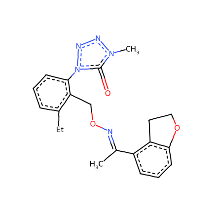 CCc1cccc(-n2nnn(C)c2=O)c1CON=C(C)c1cccc2c1CCO2